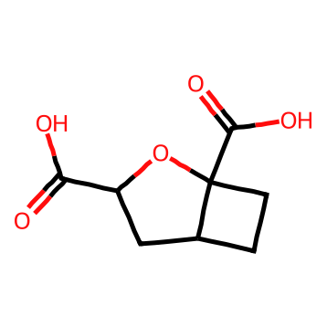 O=C(O)C1CC2CCC2(C(=O)O)O1